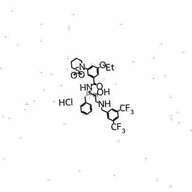 CCOc1cc(C(=O)N[C@@H](Cc2ccccc2)[C@H](O)CNCc2cc(C(F)(F)F)cc(C(F)(F)F)c2)cc(N2CCCCS2(=O)=O)c1.Cl